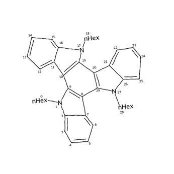 CCCCCCn1c2ccccc2c2c1c1c3ccccc3n(CCCCCC)c1c1c3ccccc3n(CCCCCC)c21